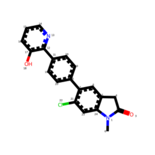 CN1C(=O)Cc2cc(-c3ccc(-c4ncccc4O)cc3)c(Cl)cc21